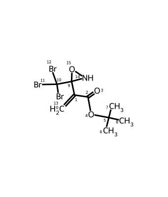 C=C(C(=O)OC(C)(C)C)C1(C(Br)(Br)Br)NO1